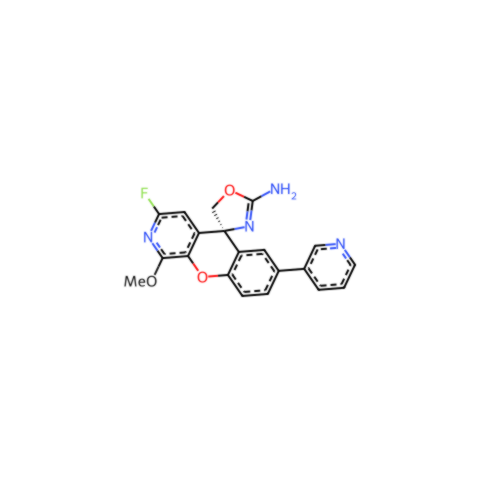 COc1nc(F)cc2c1Oc1ccc(-c3cccnc3)cc1[C@@]21COC(N)=N1